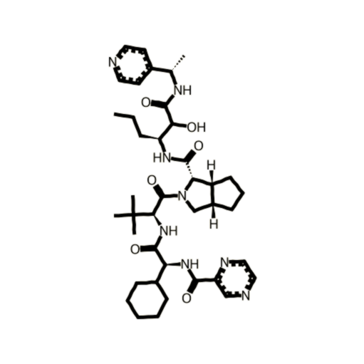 CCC[C@H](NC(=O)[C@@H]1[C@@H]2CCC[C@@H]2CN1C(=O)[C@@H](NC(=O)[C@@H](NC(=O)c1cnccn1)C1CCCCC1)C(C)(C)C)C(O)C(=O)N[C@@H](C)c1ccncc1